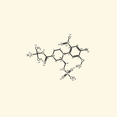 COc1cc(N2CCN(C(=O)OC(C)(C)C)C[C@@H]2COS(C)(=O)=O)c([N+](=O)[O-])cc1Br